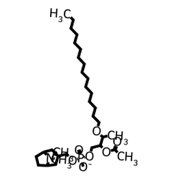 CCCCCCCCCCCCCCCCOC(C)C(COP(=O)([O-])OCC1CC2CCC(C1)[N+]2(C)C)OC(C)=O